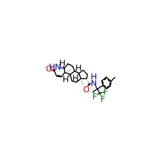 Cc1ccc(C(C)(NC(=O)[C@H]2CC[C@H]3[C@@H]4CC[C@H]5NC(=O)C=C[C@]5(C)[C@H]4CC[C@]23C)C(F)(F)F)cc1